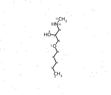 CCCCCOCC(O)CNC